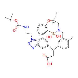 Cc1ccc(C(CC(=O)O)c2ccc3c(c2)nnn3CCNC(=O)OC(C)(C)C)cc1CN1C[C@@H](C)Oc2ccccc2S1(O)O